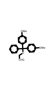 COc1ccc(C(SCC=O)(c2ccccc2)c2ccc(OC)cc2)cc1